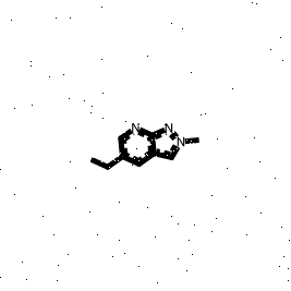 CCc1cnc2nn(C)cc2c1